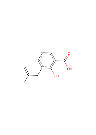 C=C(C)Cc1c[c]cc(C(=O)O)c1O